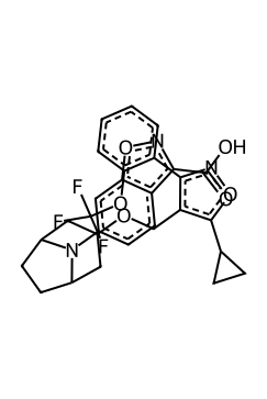 O=C(O)c1noc2cc(N3C4CCC3CC(OCc3c(-c5ccccc5OC(F)(F)F)noc3C3CC3)C4)ccc12